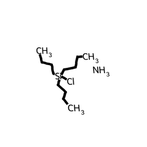 CCCC[Si](Cl)(CCCC)CCCC.N